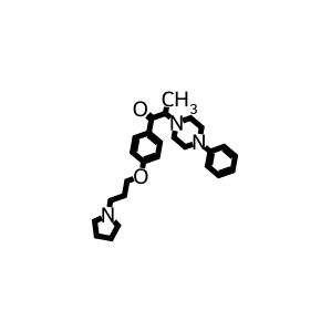 CC(C(=O)c1ccc(OCCCN2CCCC2)cc1)N1CCN(c2ccccc2)CC1